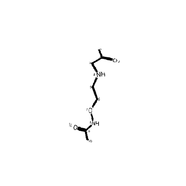 CC(=O)CNCCONC(C)=O